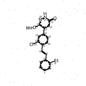 CCc1ccccc1C=Cc1ccc(-c2cc(=O)[nH]nc2OC)cc1Cl